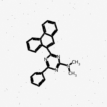 CN(C)c1nc(-c2ccccc2)nc(-c2cc3ccccc3c3ccccc23)n1